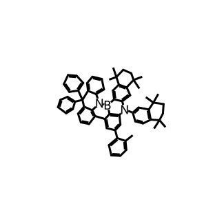 Cc1ccccc1-c1cc2c3c(c1)N(c1ccc4c(c1)C(C)(C)CCC4(C)C)c1cc4c(cc1B3N1c3ccccc3C(c3ccccc3)(c3ccccc3)c3cccc-2c31)C(C)(C)CCC4(C)C